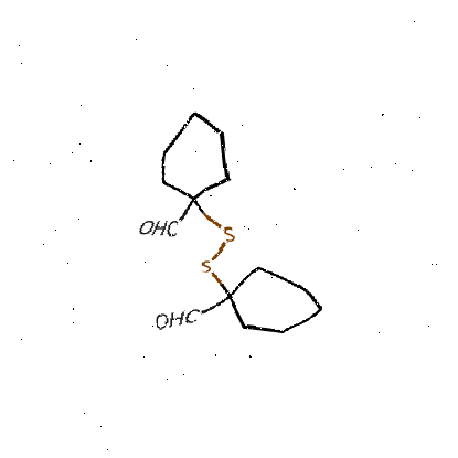 O=CC1(SSC2(C=O)CCCCC2)CCCCC1